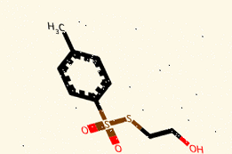 Cc1ccc(S(=O)(=O)SCCO)cc1